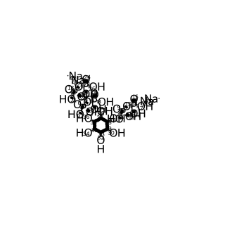 O=P(O)(O)OP(=O)(O)O.O=P(O)(O)OP(=O)(O)O.O=P(O)(O)OP(=O)(O)O.O[C@H]1[C@H](O)[C@@H](O)[C@H](O)[C@@H](O)[C@H]1O.[Na].[Na].[Na].[Na]